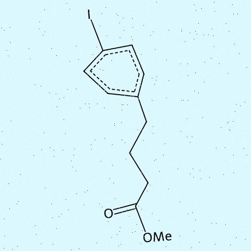 COC(=O)CCCc1ccc(I)cc1